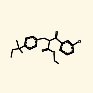 CCOC(=O)C(Cc1ccc(C(C)(C)CC)cc1)C(=O)c1cccc(Cl)c1